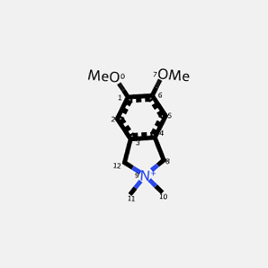 COc1cc2c(cc1OC)C[N+](C)(C)C2